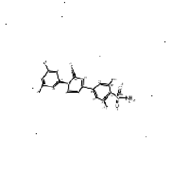 Cc1cc(C)cc(C2C=CC(c3cc(F)c(S(N)(=O)=O)c(F)c3)=CC2=S)c1